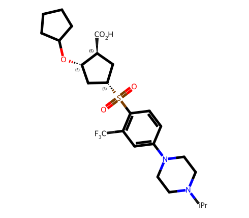 CC(C)N1CCN(c2ccc(S(=O)(=O)[C@@H]3C[C@H](OC4CCCC4)[C@@H](C(=O)O)C3)c(C(F)(F)F)c2)CC1